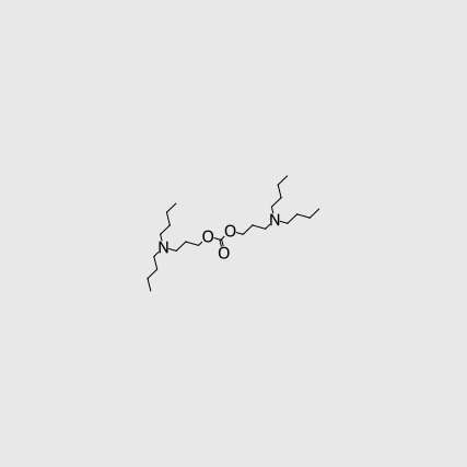 CCCCN(CCCC)CCCOC(=O)OCCCN(CCCC)CCCC